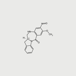 COc1cc2c(cc1N=O)NC[C@@H]1Cc3ccccc3N1C2=O